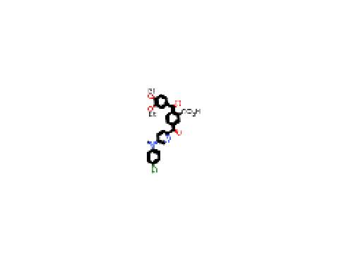 CCOc1ccc(C(=O)c2ccc(C(=O)c3ccc(N(C)c4ccc(Cl)cc4)cn3)cc2C(=O)O)cc1OCC